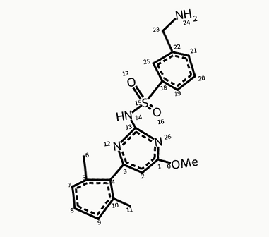 COc1cc(-c2c(C)cccc2C)nc(NS(=O)(=O)c2cccc(CN)c2)n1